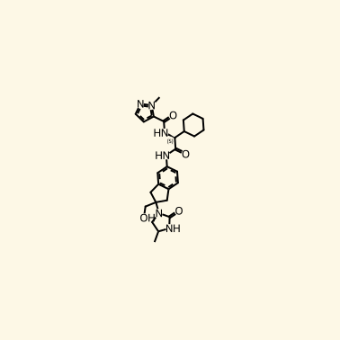 CC1CN(C2(CO)Cc3ccc(NC(=O)[C@@H](NC(=O)c4ccnn4C)C4CCCCC4)cc3C2)C(=O)N1